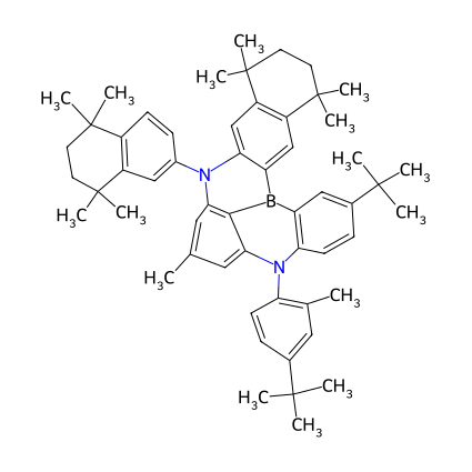 Cc1cc2c3c(c1)N(c1ccc(C(C)(C)C)cc1C)c1ccc(C(C)(C)C)cc1B3c1cc3c(cc1N2c1ccc2c(c1)C(C)(C)CCC2(C)C)C(C)(C)CCC3(C)C